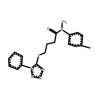 CN(C(=O)CCCSc1nnnn1-c1ccccc1)c1ccc(F)cc1